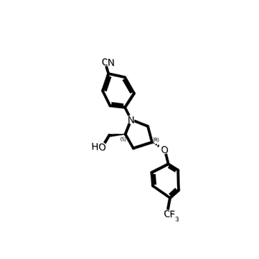 N#Cc1ccc(N2C[C@H](Oc3ccc(C(F)(F)F)cc3)C[C@H]2CO)cc1